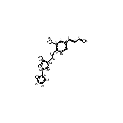 COc1cc(C=CC=O)ccc1OCc1nc(-c2ccco2)oc1C